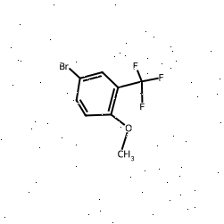 COc1c[c]c(Br)cc1C(F)(F)F